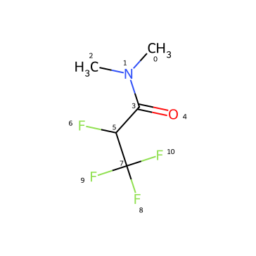 CN(C)C(=O)C(F)C(F)(F)F